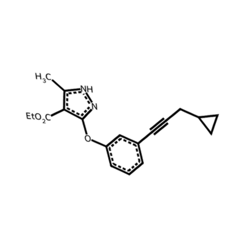 CCOC(=O)c1c(Oc2cccc(C#CCC3CC3)c2)n[nH]c1C